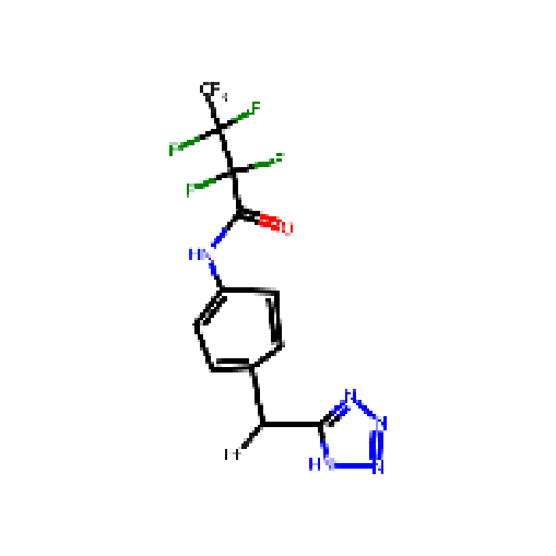 CCC(c1ccc(NC(=O)C(F)(F)C(F)(F)C(F)(F)F)cc1)c1nnn[nH]1